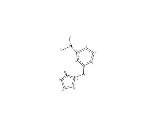 CN(C)c1cccc(Cn2cccn2)c1